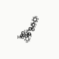 C[C@@]12OC(=O)[C@]1([C@@H](O)[C@@H]1C=CCCC1)NC(=O)[C@@H]2CCOC(=O)c1ccc(-c2ccccc2)cc1